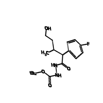 CC(CCO)C(C(=O)NNC(=O)OC(C)(C)C)c1ccc(F)cc1